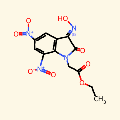 CCOC(=O)CN1C(=O)/C(=N/O)c2cc([N+](=O)[O-])cc([N+](=O)[O-])c21